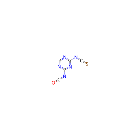 O=C=Nc1ncnc(N=C=S)n1